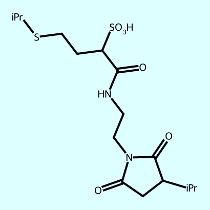 CC(C)SCCC(C(=O)NCCN1C(=O)CC(C(C)C)C1=O)S(=O)(=O)O